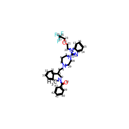 CN(CC(CCN1CCCN(c2nc3ccccc3n2CCOCC(F)(F)F)CC1)c1ccccc1)C(=O)c1ccccc1